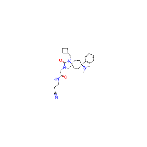 CN(C)[C@]1(c2ccccc2)CC[C@]2(CC1)CN(CC(=O)NCCC#N)C(=O)N2CC1CCC1